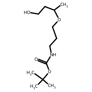 CC(CCO)OCCCNC(=O)OC(C)(C)C